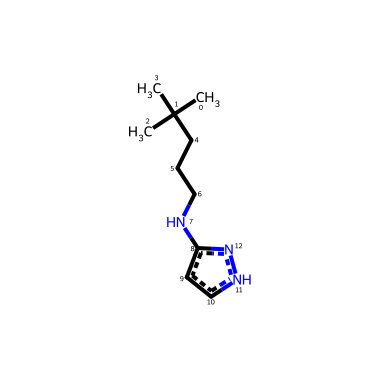 CC(C)(C)CCCNc1cc[nH]n1